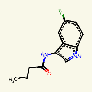 CCCC(=O)Nc1c[nH]c2ccc(F)cc12